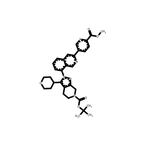 COC(=O)c1ccc(-c2cc3cccc(-n4nc5c(c4C4CCOCC4)CCN(C(=O)OC(C)(C)C)C5)c3cn2)cn1